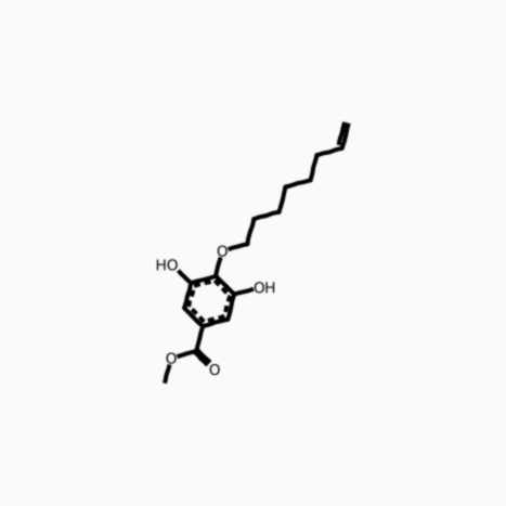 C=CCCCCCCOc1c(O)cc(C(=O)OC)cc1O